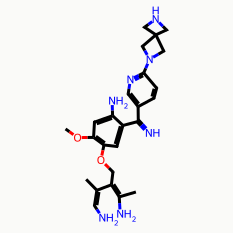 COc1cc(N)c(C(=N)c2ccc(N3CC4(CNC4)C3)nc2)cc1OCC(/C(C)=C\N)=C(\C)N